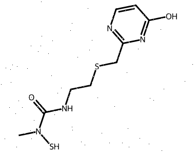 CN(S)C(=O)NCCSCc1nccc(O)n1